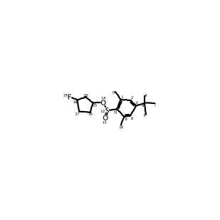 Cc1cc(C(C)(C)C)cc(C)c1S(=O)OC1CCC(F)C1